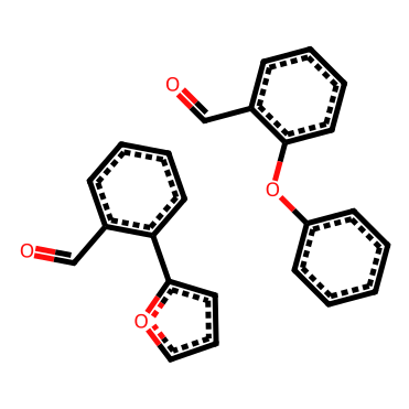 O=Cc1ccccc1-c1ccco1.O=Cc1ccccc1Oc1ccccc1